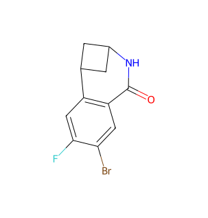 O=C1NC2CC(C2)c2cc(F)c(Br)cc21